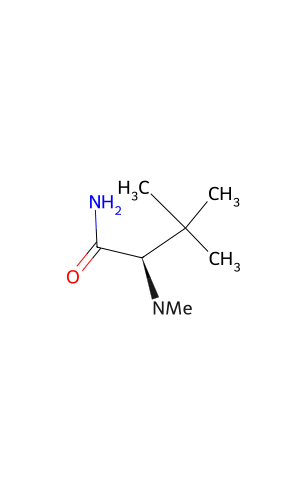 CN[C@@H](C(N)=O)C(C)(C)C